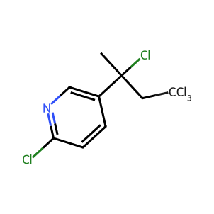 CC(Cl)(CC(Cl)(Cl)Cl)c1ccc(Cl)nc1